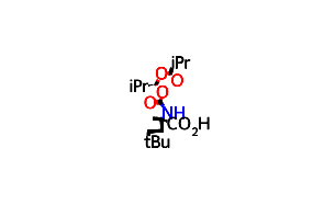 CC(C)C(=O)O[C@H](OC(=O)N[C@@](C)(CCC(C)(C)C)C(=O)O)C(C)C